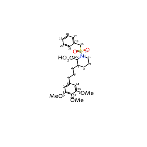 COc1cc(CCCC2CCCN(S(=O)(=O)Cc3ccccc3)C2C(=O)O)cc(OC)c1OC